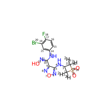 [2H]C1([2H])C(Nc2nonc2C(=NO)Nc2ccc(F)c(Br)c2)C([2H])([2H])S1(=O)=O